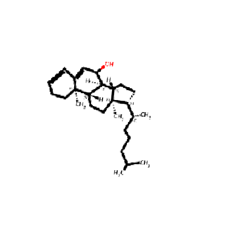 CC(C)CCC[C@@H](C)[C@H]1CC[C@H]2[C@@H]3C(O)C=C4C=CCC[C@]4(C)[C@H]3CC[C@]12C